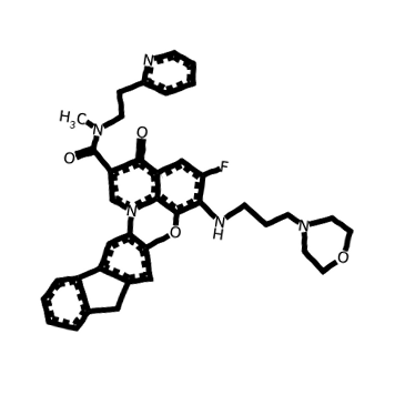 CN(CCc1ccccn1)C(=O)c1cn2c3c(c(NCCCN4CCOCC4)c(F)cc3c1=O)Oc1cc3c(cc1-2)-c1ccccc1C3